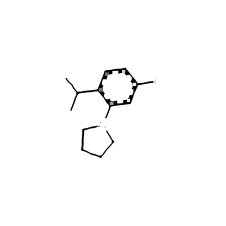 CC(C)c1ccc(F)cc1N1CCCC1